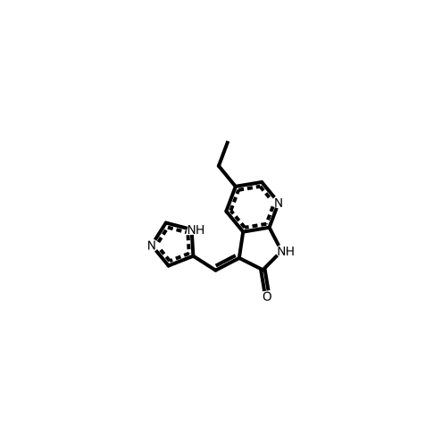 CCc1cnc2c(c1)/C(=C\c1cnc[nH]1)C(=O)N2